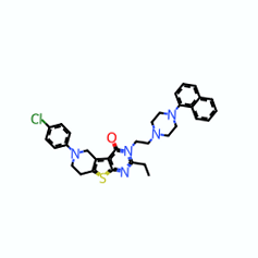 CCc1nc2sc3c(c2c(=O)n1CCN1CCN(c2cccc4ccccc24)CC1)CN(c1ccc(Cl)cc1)CC3